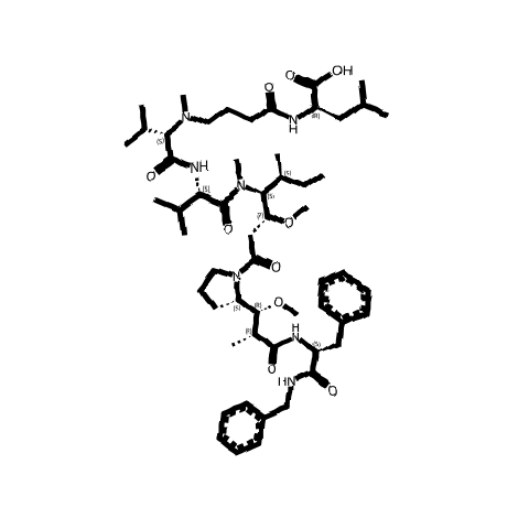 CC[C@H](C)[C@@H]([C@@H](CC(=O)N1CCC[C@H]1[C@H](OC)[C@@H](C)C(=O)N[C@@H](Cc1ccccc1)C(=O)NCc1ccccc1)OC)N(C)C(=O)[C@@H](NC(=O)[C@H](C(C)C)N(C)CCCC(=O)N[C@H](CC(C)C)C(=O)O)C(C)C